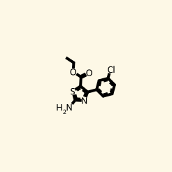 CCOC(=O)c1sc(N)nc1-c1cccc(Cl)c1